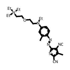 [C-]#[N+]c1c(/N=N/c2ccc(N(CC)CCOCC[N+](CC)(CC)CC)cc2C)sc(C#N)c1C